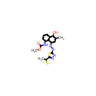 COC(=O)Nc1cccc2c(O)c(C)cc(/N=N/c3nnc(C(C)S)s3)c12